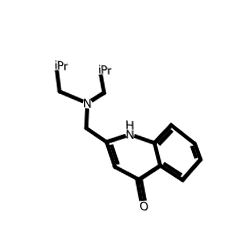 CC(C)CN(Cc1cc(=O)c2ccccc2[nH]1)CC(C)C